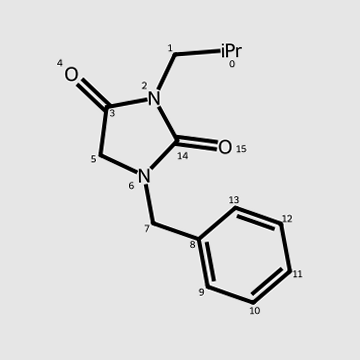 CC(C)CN1C(=O)CN(Cc2ccccc2)C1=O